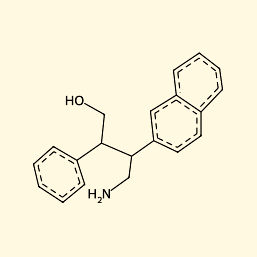 NCC(c1ccc2ccccc2c1)C(CO)c1ccccc1